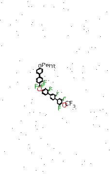 CCCCCc1ccc(-c2ccc(C(F)(F)Oc3ccc(-c4ccc(-c5cc(F)c(OC(F)(F)F)c(F)c5)c(F)c4)c(F)c3)c(F)c2)cc1